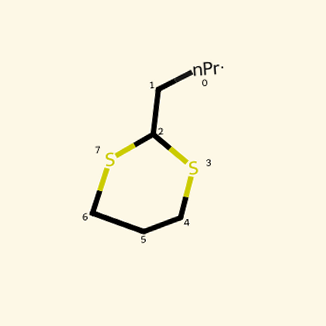 CC[CH]CC1SCCCS1